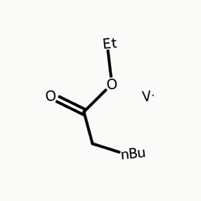 CCCCCC(=O)OCC.[V]